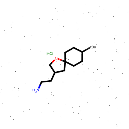 CC(C)(C)C1CCC2(CC1)CC(CCN)CO2.Cl